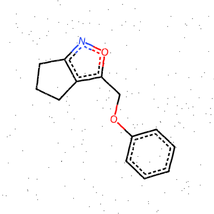 c1ccc(OCc2onc3c2CCC3)cc1